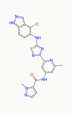 Cc1cc(NC(=O)c2ccnn2C)cc(-c2nsc(Nc3ccc4[nH]ncc4c3Cl)n2)n1